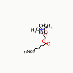 CCCCCCCCCCCCCC(=O)OCCOC(C)[N+](C)(C)C